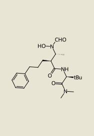 C[C@H]([C@H](CCCc1ccccc1)C(=O)N[C@H](C(=O)N(C)C)C(C)(C)C)N(O)C=O